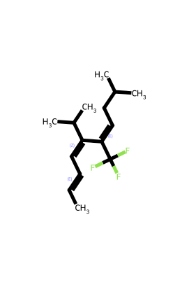 C/C=C/C=C(\C(=C/CC(C)C)C(F)(F)F)C(C)C